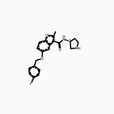 Cc1oc2ccc(OCc3ccc(F)cc3)cc2c1C(=O)N[C@H]1CCNC1